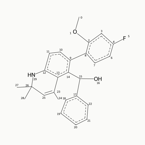 COc1cc(F)ccc1-c1ccc2c(c1C(O)c1ccccc1)C(C)=CC(C)(C)N2